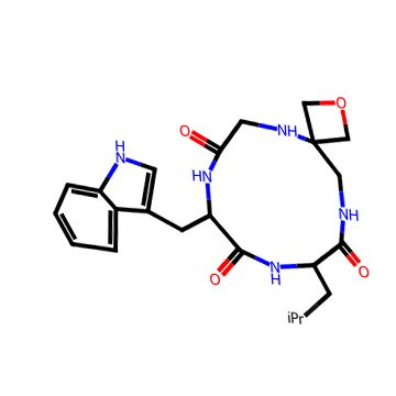 CC(C)CC1NC(=O)C(Cc2c[nH]c3ccccc23)NC(=O)CNC2(CNC1=O)COC2